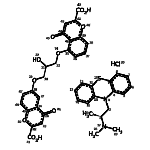 C[C@H](CN1c2ccccc2Sc2ccccc21)N(C)C.Cl.O=C(O)c1cc(=O)c2cc(OCC(O)COc3cccc4oc(C(=O)O)cc(=O)c34)ccc2o1